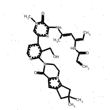 C=CC(=O)NC(/C=C(\C)Nc1nc(-c2ccnc(N3CCn4c(cc5c4CC(C)(C)C5)C3=O)c2CO)cn(C)c1=O)=C/C